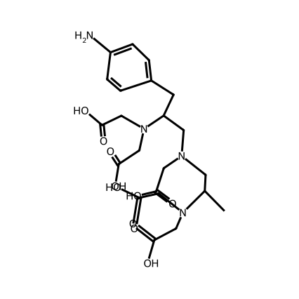 CC(CN(CC(=O)O)CC(Cc1ccc(N)cc1)N(CC(=O)O)CC(=O)O)N(CC(=O)O)CC(=O)O